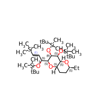 CC[C@H]1CC[C@@H]2O[C@@H]([C@H](/C=C/[Si](C)(C)C)O[Si](C)(C)C(C)(C)C)[C@@H](O[Si](C)(C)C(C)(C)C)[C@@H](O[Si](C)(C)C(C)(C)C)[C@H]2O1